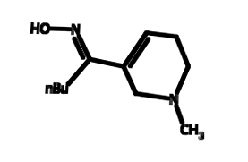 CCCC/C(=N\O)C1=CCCN(C)C1